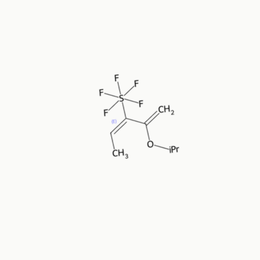 C=C(OC(C)C)/C(=C\C)S(F)(F)(F)(F)F